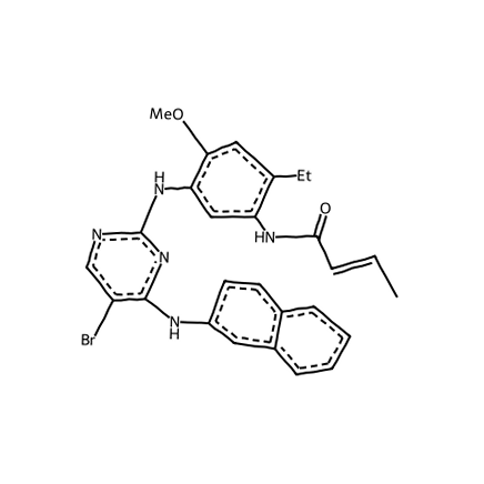 C/C=C/C(=O)Nc1cc(Nc2ncc(Br)c(Nc3ccc4ccccc4c3)n2)c(OC)cc1CC